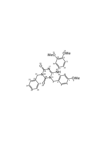 COc1ccc(Cn2c(Nc3ccc(OC)c(OC)c3)nc(=O)n(Cc3ccccc3)c2=O)cc1